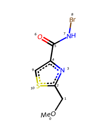 COCc1nc(C(=O)NBr)cs1